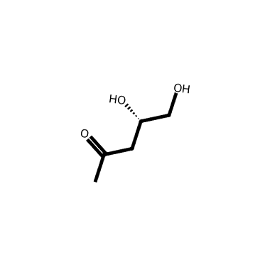 CC(=O)C[C@H](O)CO